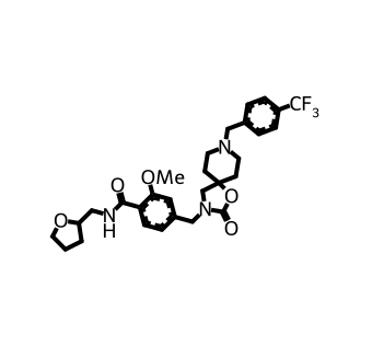 COc1cc(CN2CC3(CCN(Cc4ccc(C(F)(F)F)cc4)CC3)OC2=O)ccc1C(=O)NCC1CCCO1